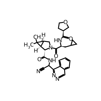 CC1(C)[C@@H]2[C@@H](C(=O)NC(C#N)c3nncc4ccccc34)N(C(=O)[C@H](CC3CC3)NC(=O)[C@H]3CCOC3)C[C@@H]21